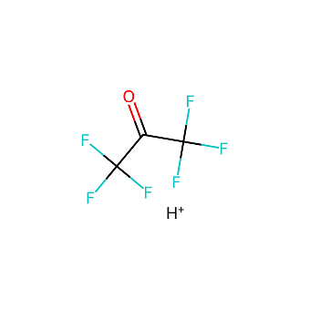 O=C(C(F)(F)F)C(F)(F)F.[H+]